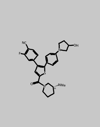 CN[C@@H]1CCCN(C(=O)c2cc(-c3ccc(C#N)c(F)c3)c(-c3ccc(N4CCC(O)C4)cc3)s2)C1